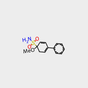 COC1(S(N)(=O)=O)C=CC(c2ccccc2)=CC1